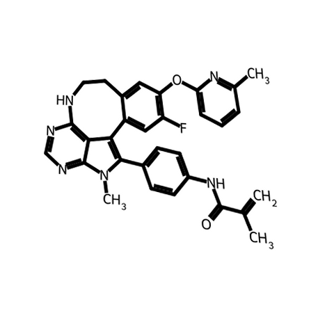 C=C(C)C(=O)Nc1ccc(-c2c3c4c(ncnc4n2C)NCCc2cc(Oc4cccc(C)n4)c(F)cc2-3)cc1